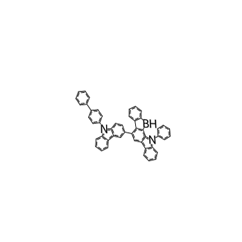 B1c2ccccc2-c2c(-c3ccc4c(c3)c3ccccc3n4-c3ccc(-c4ccccc4)cc3)cc3c4ccccc4n(-c4ccccc4)c3c21